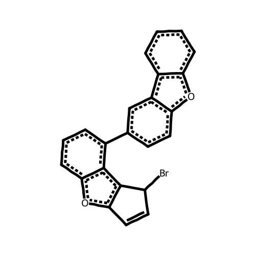 BrC1C=Cc2oc3cccc(-c4ccc5oc6ccccc6c5c4)c3c21